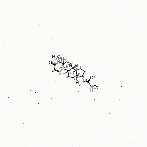 CCNC(=O)N[C@H]1CC[C@H]2[C@@H]3CC[C@H]4N(C)C(=O)C=C[C@]4(C)[C@H]3CC[C@]12C